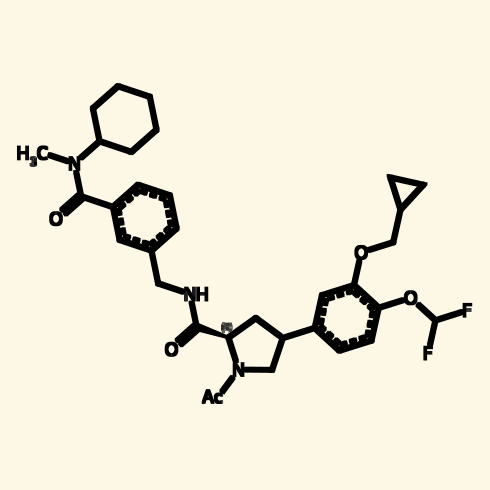 CC(=O)N1CC(c2ccc(OC(F)F)c(OCC3CC3)c2)C[C@@H]1C(=O)NCc1cccc(C(=O)N(C)C2CCCCC2)c1